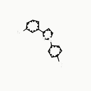 N#Cc1cccc(-c2ccn(-c3ccc(C(F)(F)F)cc3)n2)c1